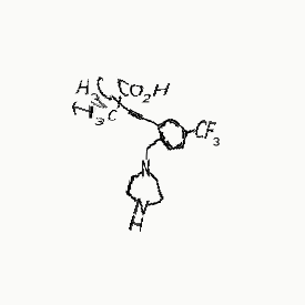 CC(C)(C#Cc1cc(C(F)(F)F)ccc1CN1CCNCC1)C(=O)O